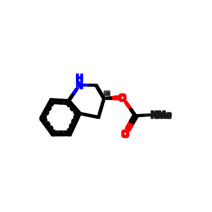 CNC(=O)O[C@@H]1CNc2ccccc2C1